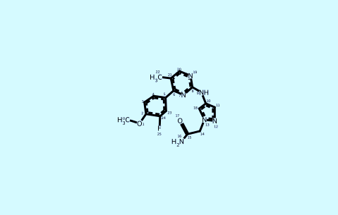 COc1ccc(-c2nc(Nc3cnn(CC(N)=O)c3)ncc2C)cc1F